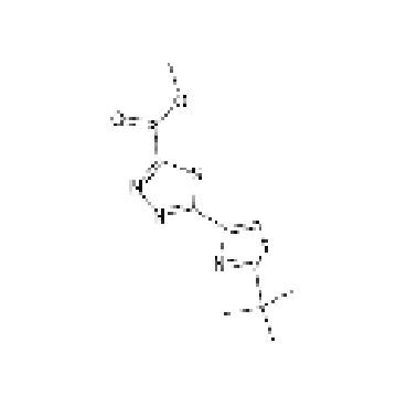 COC(=O)c1nnc(-c2csc(C(C)(C)C)n2)s1